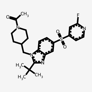 CC(=O)N1CCC(Cn2c(C(C)(C)C)nc3cc(S(=O)(=O)c4ccnc(F)c4)ccc32)CC1